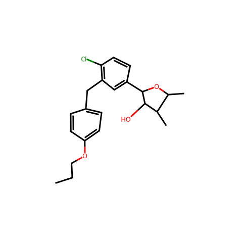 CCCOc1ccc(Cc2cc(C3OC(C)C(C)C3O)ccc2Cl)cc1